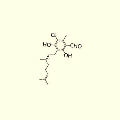 CC(C)=CCCC(C)=CCc1c(O)c(Cl)c(C)c(C=O)c1O